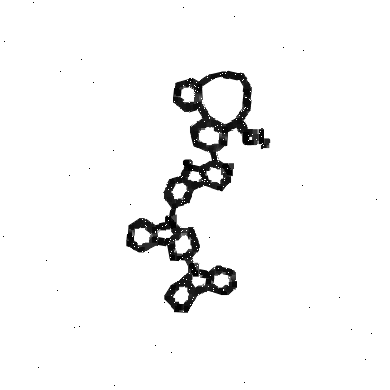 C=C1/C=C\C=C/Cc2ccccc2-c2ccc(-c3nccc4c3sc3ccc(-n5c6ccccc6c6cc(-n7c8ccccc8c8ccccc87)ccc65)cc34)cc21